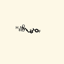 CC(c1ccc(F)cc1)c1ccc(CC#CCN(O)C(N)=O)s1